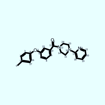 Cc1ccc(Oc2cccc(C(=O)N3CCN(c4ccccn4)CC3)c2)cc1